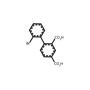 O=C(O)c1ccc(-c2ccccc2Br)c(C(=O)O)c1